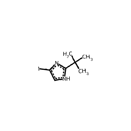 CC(C)(C)c1nc(I)c[nH]1